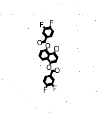 O=C(Oc1ccc(Cl)c2c(OC(=O)c3ccc(F)c(F)c3)cccc12)c1ccc(F)c(F)c1